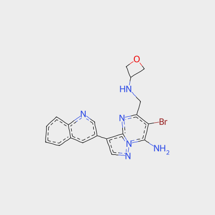 Nc1c(Br)c(CNC2COC2)nc2c(-c3cnc4ccccc4c3)cnn12